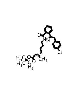 CN(CCCCn1nc(Cc2ccc(Cl)cc2)c2ccccc2c1=O)CC(=O)OC(C)(C)C